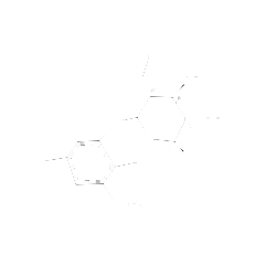 CCCCCc1cc(O)cc(OC2O[C@H](O)[C@@H](O)[C@H](O)[C@H]2CO)c1C(=O)O